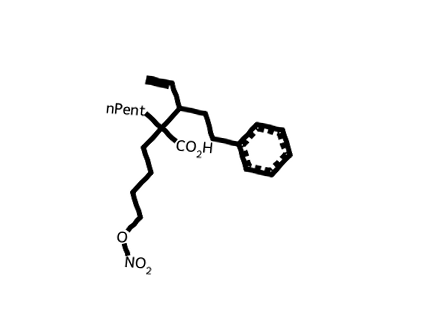 C=CC(CCc1ccccc1)C(CCCCC)(CCCCO[N+](=O)[O-])C(=O)O